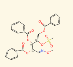 CON=C[C@H](OC(=O)c1ccccc1)[C@H](OC(=O)c1ccccc1)[C@@H](COC(=O)c1ccccc1)OS(C)(=O)=O